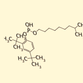 CC(C)CCCCCCCOP(O)Oc1ccc(C(C)(C)C)cc1C(C)(C)C